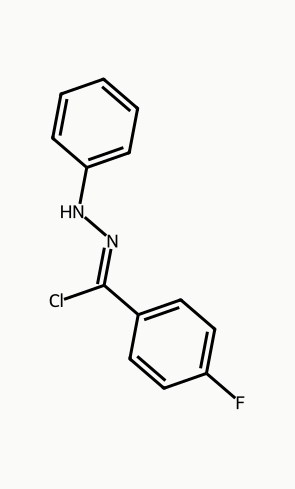 Fc1ccc(C(Cl)=NNc2ccccc2)cc1